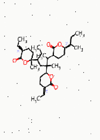 C/C=C1\CCC(C(C)(CC(CC)C2(C)CC/C(=C\C)C(=O)O2)C(C)C2CC/C(=C(\C)CC)OC2=O)OC1=O